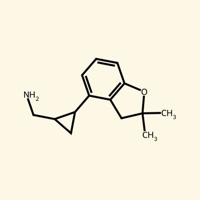 CC1(C)Cc2c(cccc2C2CC2CN)O1